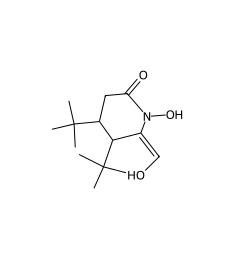 CC(C)(C)C1CC(=O)N(O)/C(=C/O)C1C(C)(C)C